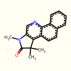 CN1C(=O)C(C)(C)c2c1cnc1c2ccc2ccccc21